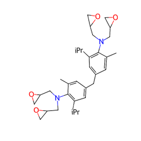 Cc1cc(Cc2cc(C)c(N(CC3CO3)CC3CO3)c(C(C)C)c2)cc(C(C)C)c1N(CC1CO1)CC1CO1